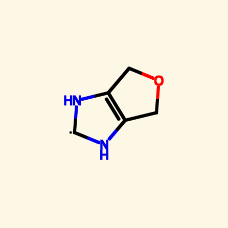 [CH]1NC2=C(COC2)N1